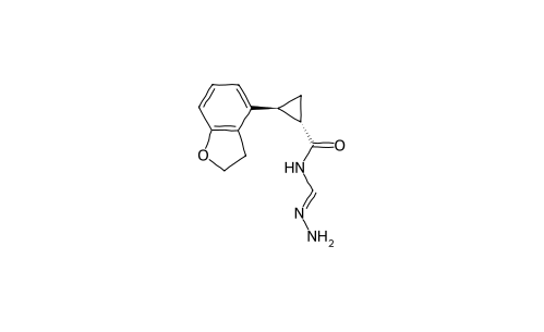 NN=CNC(=O)[C@H]1C[C@@H]1c1cccc2c1CCO2